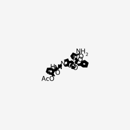 CC(=O)OCC1C2CC[C@H](O2)C1C(=O)N=NCN1CCC(CN([C@H](Cc2ccccc2)C(=O)N2CCC[C@H]2C(N)=O)S(C)(=O)=O)CC1